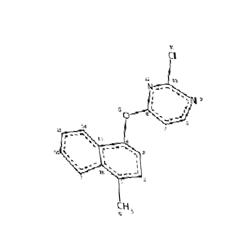 Cc1ccc(Oc2ccnc(Cl)n2)c2ccccc12